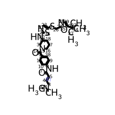 CN(C)C/C=C/C(=O)Nc1ccc(C(=O)N2CCC[C@@H](Nc3ncc(SCc4ncc(C(C)(C)C)o4)s3)C2)cc1